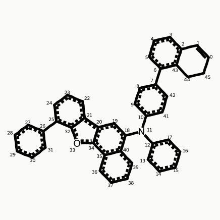 C1=Cc2cccc(-c3ccc(N(c4ccccc4)c4cc5c6cccc(-c7ccccc7)c6oc5c5ccccc45)cc3)c2CC1